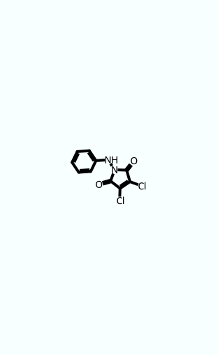 O=C1C(Cl)=C(Cl)C(=O)N1Nc1ccccc1